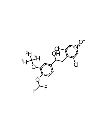 [2H]C([2H])([2H])Oc1cc(C(O)Cc2c(Cl)c[n+]([O-])cc2Cl)ccc1OC(F)F